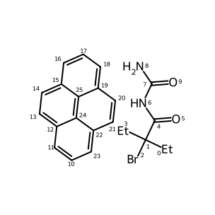 CCC(Br)(CC)C(=O)NC(N)=O.c1cc2ccc3cccc4ccc(c1)c2c34